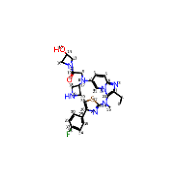 CCc1nc2ccc(N(CC(=O)N3CC(O)C3)C3CNC3)cn2c1N(C)c1nc(-c2ccc(F)cc2)cs1